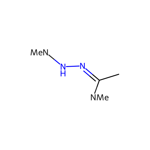 CNN/N=C(/C)NC